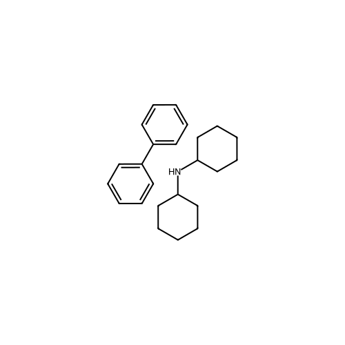 C1CCC(NC2CCCCC2)CC1.c1ccc(-c2ccccc2)cc1